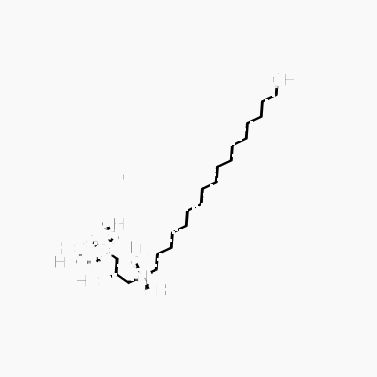 CCCCCCCCCCCCCCCCCC[N+](C)(C)CC(C)C[Si](OC)(OC)OC.[Cl-]